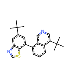 CC(C)(C)c1cc(-c2cccc3c(C(C)(C)C)cncc23)c2scnc2c1